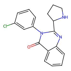 O=c1c2ccccc2nc(C2CCCN2)n1-c1cccc(Cl)c1